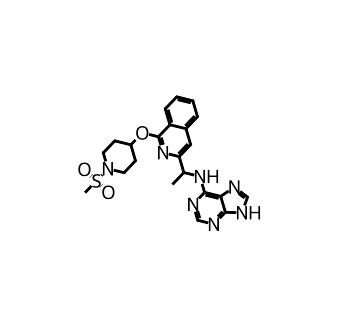 CC(Nc1ncnc2[nH]cnc12)c1cc2ccccc2c(OC2CCN(S(C)(=O)=O)CC2)n1